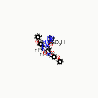 CCCN(Cc1ccc(Oc2ccccc2)cc1)C(=O)C1CC(NC(=O)Nc2nnnn2C(=O)O)C1C(=O)N(CCC)Cc1ccc(Oc2ccccc2)cc1